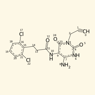 C#CCn1c(=O)[nH]c(N)c(NC(=O)CCc2c(Cl)cccc2Cl)c1=O